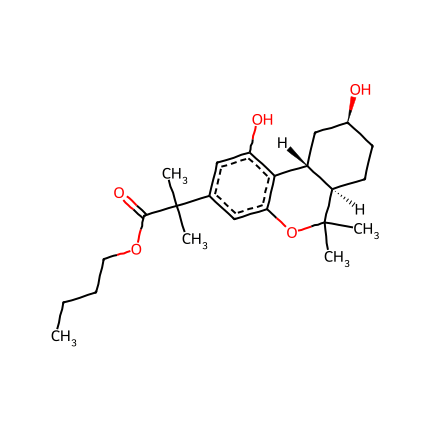 CCCCOC(=O)C(C)(C)c1cc(O)c2c(c1)OC(C)(C)[C@@H]1CC[C@H](O)C[C@@H]21